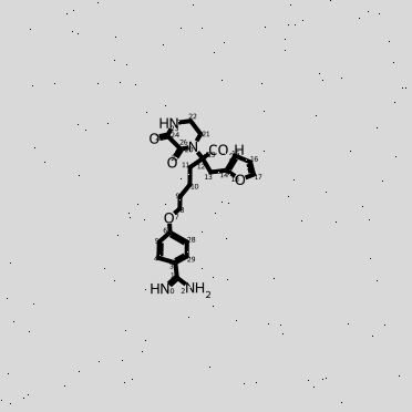 N=C(N)c1ccc(OCCCCC(Cc2ccco2)(C(=O)O)N2CCNC(=O)C2=O)cc1